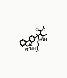 CCCCN1NC(C)=C(C(=O)OC)C1(C)c1ccc(-c2ccccc2S(N)(=O)=O)cc1